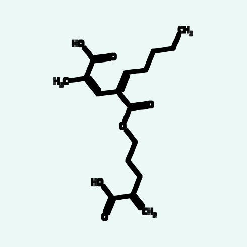 C=C(CCCOC(=O)C(C=C(C)C(=O)O)=CCCCC)C(=O)O